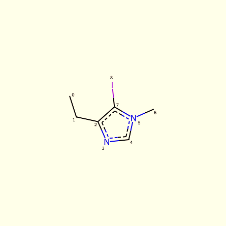 CCc1ncn(C)c1I